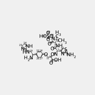 CC1(C)[C@H](NC(=O)/C(=N\OC(COc2ccc(C(N)CNC3=NCCN3)cc2)C(=O)O)c2csc(N)n2)C(=O)N1OS(=O)(=O)O